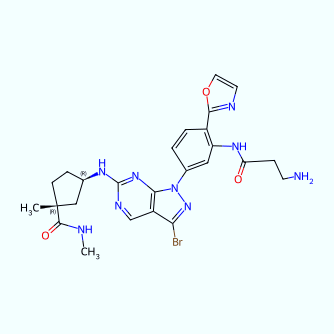 CNC(=O)[C@]1(C)CC[C@@H](Nc2ncc3c(Br)nn(-c4ccc(-c5ncco5)c(NC(=O)CCN)c4)c3n2)C1